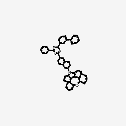 c1ccc(-c2cccc(-c3nc(-c4ccccc4)nc(-c4ccc5cc(-n6c7ccc8cccc9oc%10cccc%11ccc6c(c%11%10)c7c89)ccc5c4)n3)c2)cc1